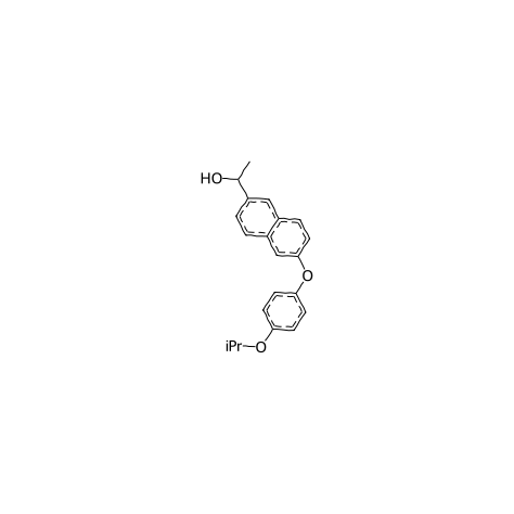 CC(C)Oc1ccc(Oc2ccc3cc(C(C)O)ccc3c2)cc1